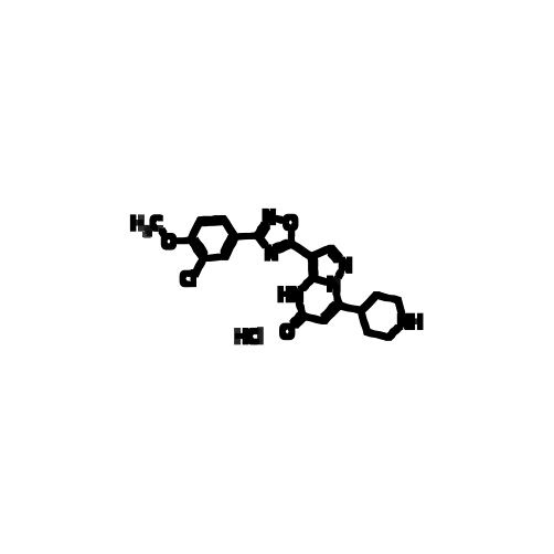 COc1ccc(-c2noc(-c3cnn4c(C5CCNCC5)cc(=O)[nH]c34)n2)cc1Cl.Cl